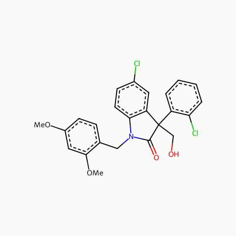 COc1ccc(CN2C(=O)C(CO)(c3ccccc3Cl)c3cc(Cl)ccc32)c(OC)c1